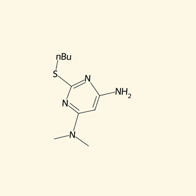 CCCCSc1nc(N)cc(N(C)C)n1